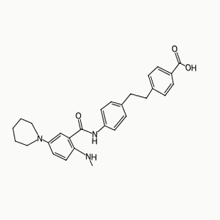 CNc1ccc(N2CCCCC2)cc1C(=O)Nc1ccc(CCc2ccc(C(=O)O)cc2)cc1